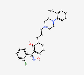 COc1ccccc1N1CCN(CCCC2CCc3onc(-c4ccccc4Cl)c3C2=O)CC1